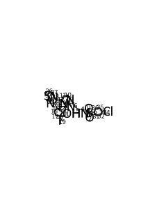 O=S(=O)(NCCCNc1nccc(-c2c(-c3ccc(F)c(O)c3)nc3sccn23)n1)c1ccc(Cl)cc1